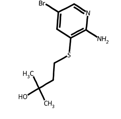 CC(C)(O)CCSc1cc(Br)cnc1N